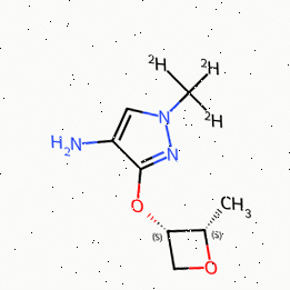 [2H]C([2H])([2H])n1cc(N)c(O[C@H]2CO[C@H]2C)n1